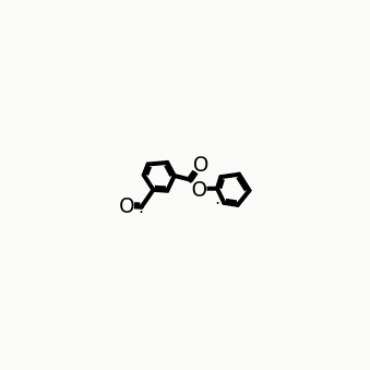 O=[C]c1cccc(C(=O)Oc2[c]cccc2)c1